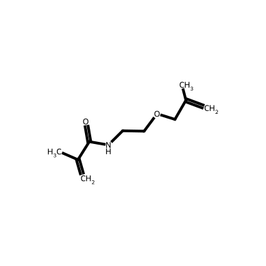 C=C(C)COCCNC(=O)C(=C)C